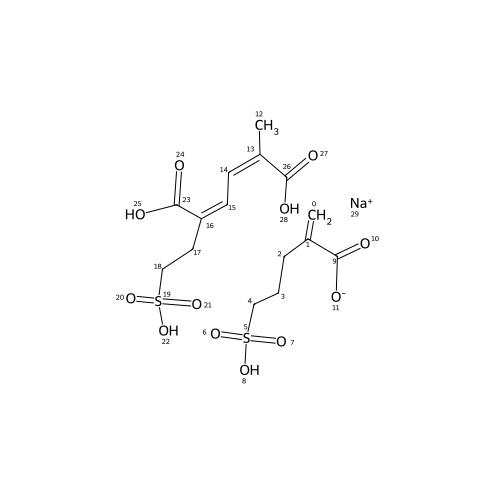 C=C(CCCS(=O)(=O)O)C(=O)[O-].CC(=CC=C(CCS(=O)(=O)O)C(=O)O)C(=O)O.[Na+]